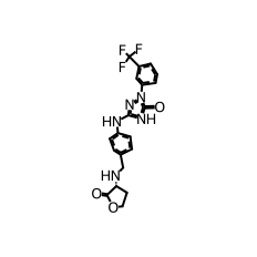 O=C1OCC[C@H]1NCc1ccc(Nc2nn(-c3cccc(C(F)(F)F)c3)c(=O)[nH]2)cc1